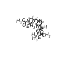 CC(=O)N1CCN(Cc2cnc(NC(=O)OC(C)(C)C)cn2)CC1C